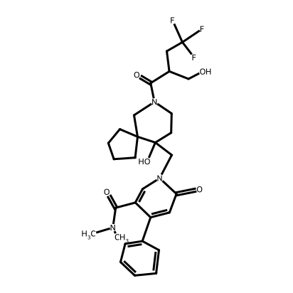 CN(C)C(=O)c1cn(CC2(O)CCN(C(=O)C(CO)CC(F)(F)F)CC23CCCC3)c(=O)cc1-c1ccccc1